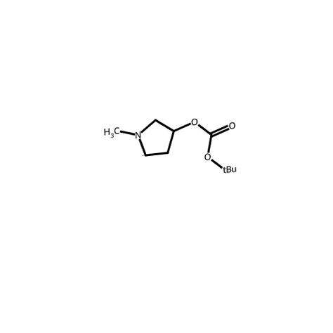 CN1[CH]CC(OC(=O)OC(C)(C)C)C1